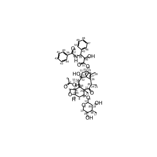 CC(=O)O[C@@]12CO[C@@H]1C[C@H](OC1OC[C@@H](O)[C@H](C)[C@H]1O)[C@@]1(C)C(=O)[C@H](C)C3=C(C)[C@@H](OC(=O)[C@H](O)[C@@H](NC(=O)c4ccccc4)c4ccccc4)C[C@@](O)([C@@H](C)[C@H]21)C3(C)C